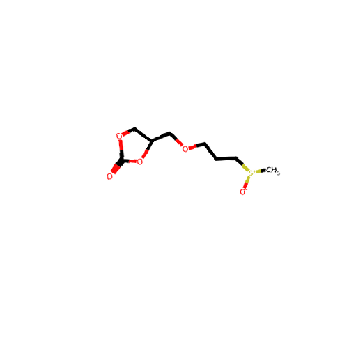 C[S+]([O-])CCCOCC1COC(=O)O1